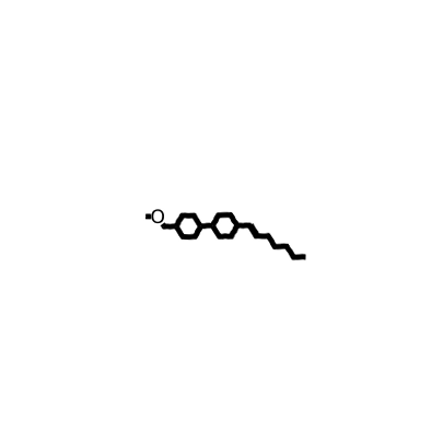 CCCCCC=CC1CCC(C2CCC(COC)CC2)CC1